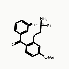 CCCC[C@](N)(CC)CSc1cc(OC)ccc1C(=O)c1ccccc1